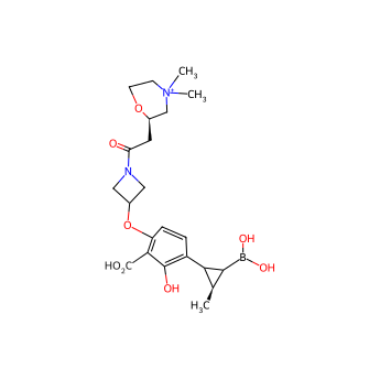 C[C@@H]1C(B(O)O)C1c1ccc(OC2CN(C(=O)C[C@@H]3C[N+](C)(C)CCO3)C2)c(C(=O)O)c1O